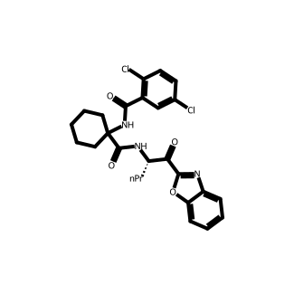 CCC[C@H](NC(=O)C1(NC(=O)c2cc(Cl)ccc2Cl)CCCCC1)C(=O)c1nc2ccccc2o1